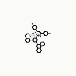 Cc1ccc(C2=CC(c3ccc(C)cc3)NC(c3cc(-c4cccc5c4NCC=C5)cc(-c4cc5ccccc5c5ccccc45)c3)=N2)cc1